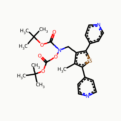 Cc1c(-c2ccncc2)sc(-c2ccncc2)c1CN(OC(=O)OC(C)(C)C)C(=O)OC(C)(C)C